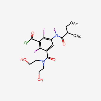 CC(=O)OCC(OC(C)=O)C(=O)N(I)c1cc(C(=O)N(CCO)CCO)c(I)c(C(=O)Cl)c1I